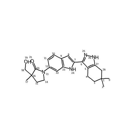 CC1(C)CCc2c(-c3cc4ccc(N5CCC(C)(CO)C5=O)cc4[nH]3)n[nH]c2C1